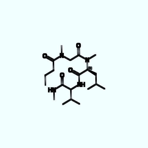 CCCC(=O)N(C)CC(=O)N(C)[C@@H](CC(C)C)C(=O)NC(C(=O)NC)C(C)C